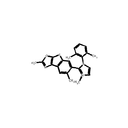 Cc1nc2c(o1)sc1cc(-c3n(-c4c(C)cccc4C)cc[n+]3C)c(C)cc12